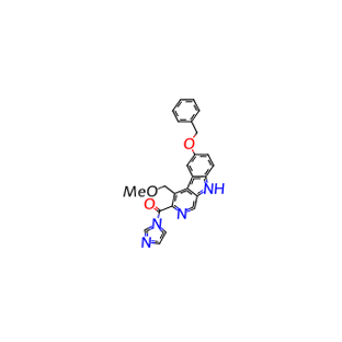 COCc1c(C(=O)n2ccnc2)ncc2[nH]c3ccc(OCc4ccccc4)cc3c12